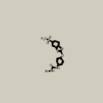 CC(C)NC(=O)Nc1ccc(Oc2nc3ccc(S(C)(=O)=O)cc3s2)cc1